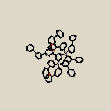 c1ccc(-c2cccc(-c3cc(-c4cccc(-c5ccccc5)c4)nc(-c4cc([Si](c5cccc(-c6ccccc6)c5)(c5cccc(-c6ccccc6)c5)c5cccc(-c6ccccc6)c5)cc([Si](c5cccc(-c6ccccc6)c5)(c5cccc(-c6ccccc6)c5)c5cccc(-c6ccccc6)c5)c4)n3)c2)cc1